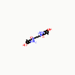 Cc1cc(O)cc(C)c1C[C@H](N)C(=O)NCCCCCCNC(=O)[C@@H](N)Cc1c(C)cc(O)cc1C